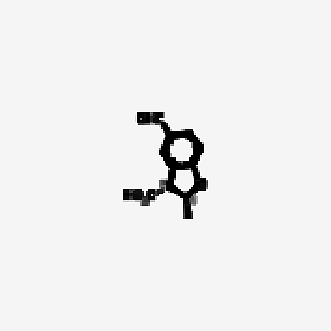 C[C@@H]1Oc2ccc(C=O)cc2[C@H]1C(=O)O